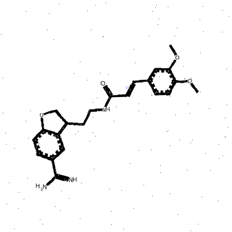 COc1ccc(/C=C/C(=O)NCCC2COc3ccc(C(=N)N)cc32)cc1OC